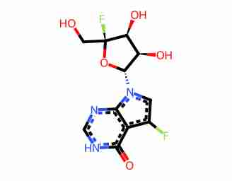 O=c1[nH]cnc2c1c(F)cn2[C@@H]1O[C@](F)(CO)[C@@H](O)[C@H]1O